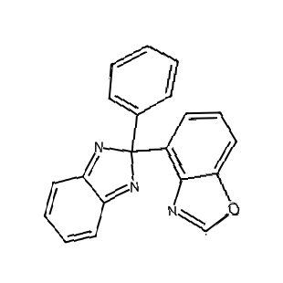 [c]1nc2c(C3(c4ccccc4)N=c4ccccc4=N3)cccc2o1